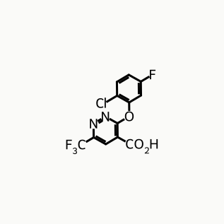 O=C(O)c1cc(C(F)(F)F)nnc1Oc1cc(F)ccc1Cl